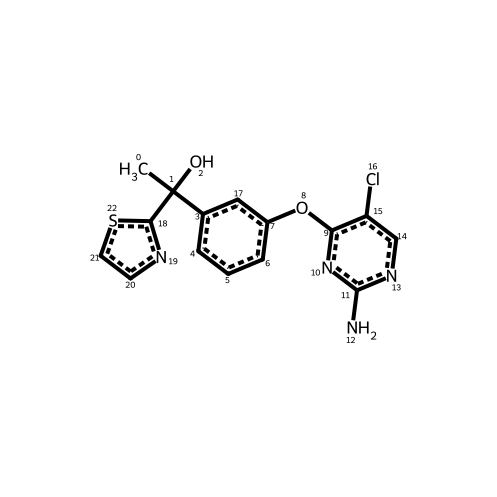 CC(O)(c1cccc(Oc2nc(N)ncc2Cl)c1)c1nccs1